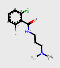 CN(C)CCCNC(=O)c1c(Cl)cccc1Cl